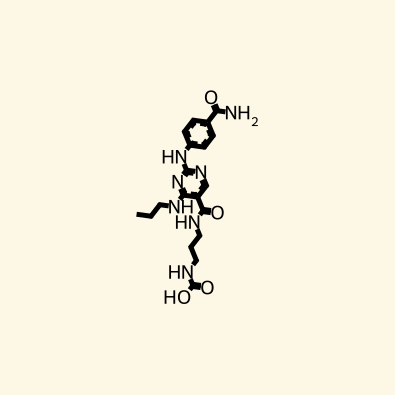 CCCNc1nc(Nc2ccc(C(N)=O)cc2)ncc1C(=O)NCCCNC(=O)O